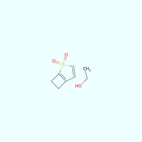 CCO.O=S1(=O)C=CC2=C1CC2